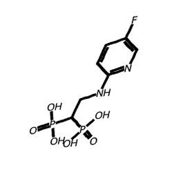 O=P(O)(O)C(CNc1ccc(F)cn1)P(=O)(O)O